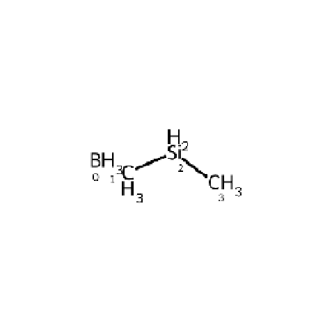 B.C[SiH2]C